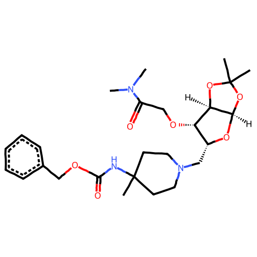 CN(C)C(=O)CO[C@@H]1[C@H]2OC(C)(C)O[C@H]2O[C@@H]1CN1CCC(C)(NC(=O)OCc2ccccc2)CC1